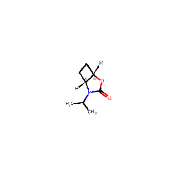 CC(C)N1C(=O)O[C@H]2CC[C@H]21